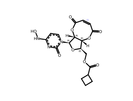 O=C1/C=C\C(=O)O[C@H]2[C@@H](O1)[C@H](n1ccc(NO)nc1=O)O[C@@H]2COC(=O)C1CCC1